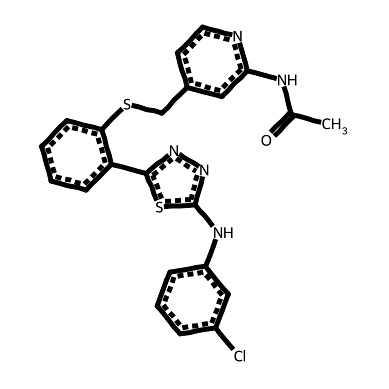 CC(=O)Nc1cc(CSc2ccccc2-c2nnc(Nc3cccc(Cl)c3)s2)ccn1